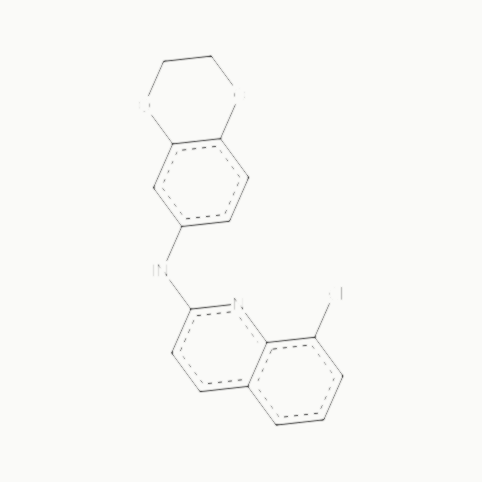 Clc1cccc2ccc(Nc3ccc4c(c3)OCCO4)nc12